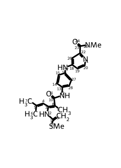 C=C(N/C(C=C(C)C)=C(\C)C(=O)Nc1ccc(Nc2ccnc(C(=O)NC)c2)cc1)SC